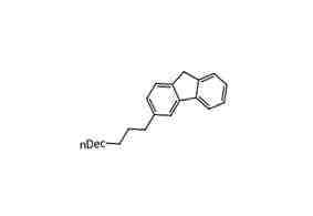 CCCCCCCCCCCCCc1ccc2c(c1)-c1ccccc1C2